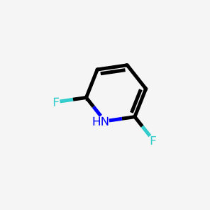 F[C]1C=CC=C(F)N1